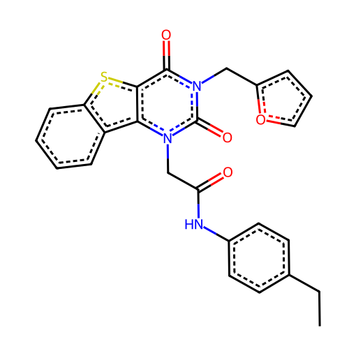 CCc1ccc(NC(=O)Cn2c(=O)n(Cc3ccco3)c(=O)c3sc4ccccc4c32)cc1